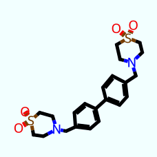 O=S1(=O)CCN(Cc2ccc(-c3ccc(CN4CCS(=O)(=O)CC4)cc3)cc2)CC1